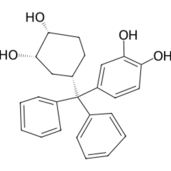 Oc1ccc(C(c2ccccc2)(c2ccccc2)[C@H]2CC[C@@H](O)[C@@H](O)C2)cc1O